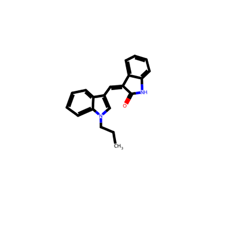 CCCn1cc(C=C2C(=O)Nc3ccccc32)c2ccccc21